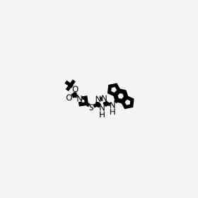 CC(C)(C)OC(=O)N1CC(Sc2nnc(Nc3c4c(cc5c3CCC5)CCC4)[nH]2)C1